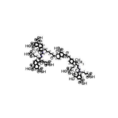 CC1(C)C(/C=C/C=C2/N(CCCS(=O)(=O)O)c3cc(S(=O)(=O)O)cc(C(=O)O)c3C2(C)C)=[N+](CCCS(=O)(=O)O)c2ccc(CNC(=O)c3cc4c(c(S(=O)(=O)O)c3)CN(C(=O)CCCCCN3/C(=C/C=C/C5=[N+](CCCS(=O)(=O)O)c6ccc7c(S(=O)(=O)O)cc(S(=O)(=O)O)cc7c6C5(C)CCCS(=O)(=O)O)C(C)(C)c5c3ccc3c(S(=O)(=O)O)cc(S(=O)(=O)O)cc53)CC4)cc21